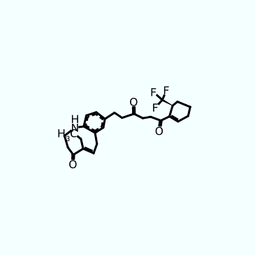 CC/C1=C\Cc2cc(CCC(=O)CCC(=O)C3=CCCC[C@@H]3C(F)(F)F)ccc2NCCC1=O